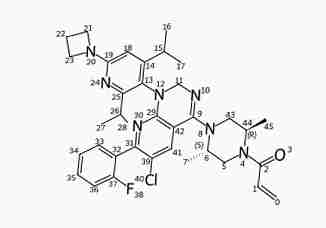 C=CC(=O)N1C[C@H](C)N(C2=NCN(c3c(C(C)C)cc(N4CCC4)nc3C(C)C)c3nc(-c4ccccc4F)c(Cl)cc32)C[C@H]1C